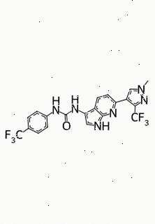 Cn1cc(-c2ccc3c(NC(=O)Nc4ccc(C(F)(F)F)cc4)c[nH]c3n2)c(C(F)(F)F)n1